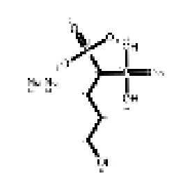 O=P([O-])([O-])C(CCCO)P(=O)(O)O.[Na+].[Na+]